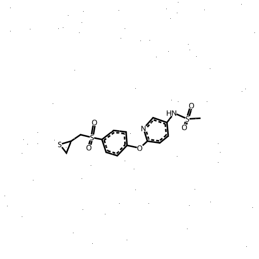 CS(=O)(=O)Nc1ccc(Oc2ccc(S(=O)(=O)CC3CS3)cc2)nc1